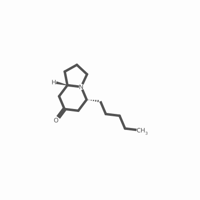 CCCCC[C@@H]1CC(=O)C[C@@H]2CCCN12